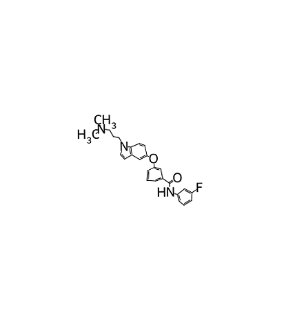 CN(C)CCCn1ccc2cc(Oc3cccc(C(=O)Nc4cccc(F)c4)c3)ccc21